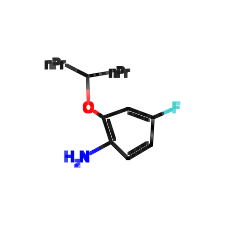 CCCC(CCC)Oc1cc(F)ccc1N